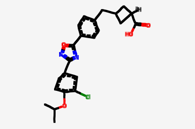 [2H]C1(C(=O)O)CC(Cc2ccc(-c3nc(-c4ccc(OC(C)C)c(Cl)c4)no3)cc2)C1